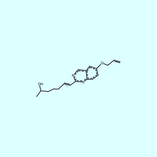 C=CCOc1ccc2nc(/C=C/CCCC(C)O)ncc2c1